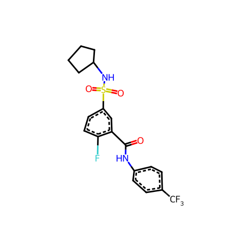 O=C(Nc1ccc(C(F)(F)F)cc1)c1cc(S(=O)(=O)NC2CCCC2)ccc1F